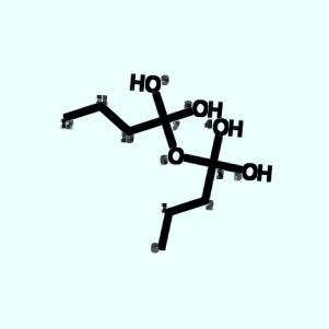 CCCC(O)(O)OC(O)(O)CCC